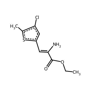 CCOC(=O)/C(N)=C/c1cc(Cl)c(C)s1